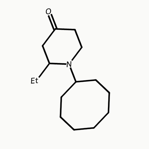 CCC1CC(=O)CCN1C1CCCCCCC1